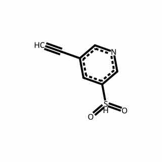 C#Cc1cncc([SH](=O)=O)c1